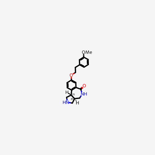 COc1cccc(CCOc2ccc3c(c2)C(=O)NC[C@H]2CNC[C@H]32)c1